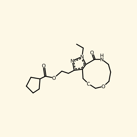 CCn1nc(CCOC(=O)C2CCCC2)c2c1C(=O)NCCCOCCC2